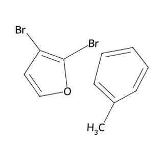 Brc1ccoc1Br.Cc1ccccc1